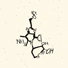 CCOCc1nc2c(C)c(C)n(C3CCS[C@@H](O)C3O)c(Cl)c-2n1.N